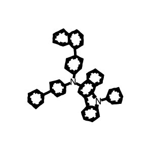 c1ccc(-c2ccc(N(c3ccc(-c4cccc5ccccc45)cc3)c3cc4c5ccccc5n(-c5ccccc5)c4c4ccccc34)cc2)cc1